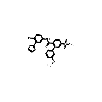 COc1cccc(-c2cc(S(C)(=O)=O)ccc2C(=O)Nc2ccc(Cl)c(-c3nccs3)c2)c1